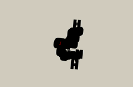 O=C1CCC(N2C(=O)c3ccc(OCCCCCN4CCC(OC5CC(Oc6ccc(-c7ccc8c(c7)[nH]c7ccncc78)cn6)C5)CC4)cc3C2=O)C(=O)N1.O=CO.O=CO.O=CO